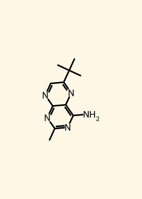 Cc1nc(N)c2nc(C(C)(C)C)cnc2n1